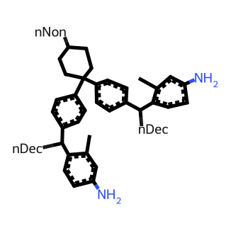 CCCCCCCCCCC(c1ccc(C2(c3ccc(C(CCCCCCCCCC)c4ccc(N)cc4C)cc3)CCC(CCCCCCCCC)CC2)cc1)c1ccc(N)cc1C